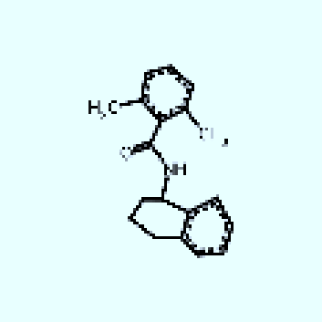 Cc1cccc(C)c1C(=O)NC1CCCc2ccccc21